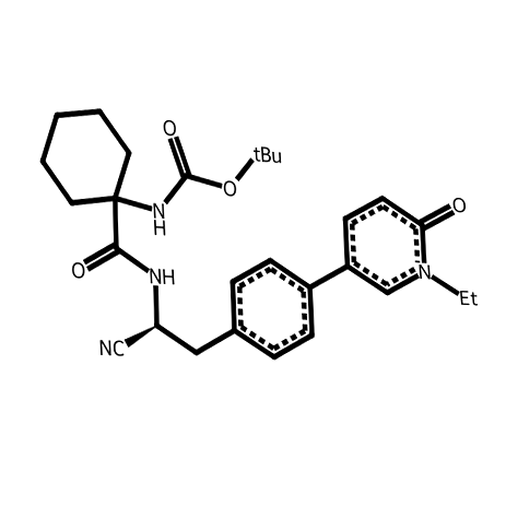 CCn1cc(-c2ccc(C[C@@H](C#N)NC(=O)C3(NC(=O)OC(C)(C)C)CCCCC3)cc2)ccc1=O